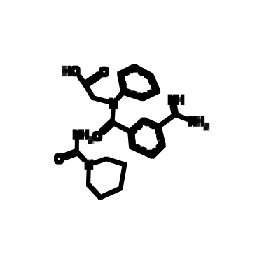 N=C(N)c1cccc(C(=O)N(CC(=O)O)c2ccccc2)c1.NC(=O)N1CCCCC1